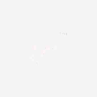 CCC(C)OC(=O)OOOC(C)(C)CC(C)(C)C